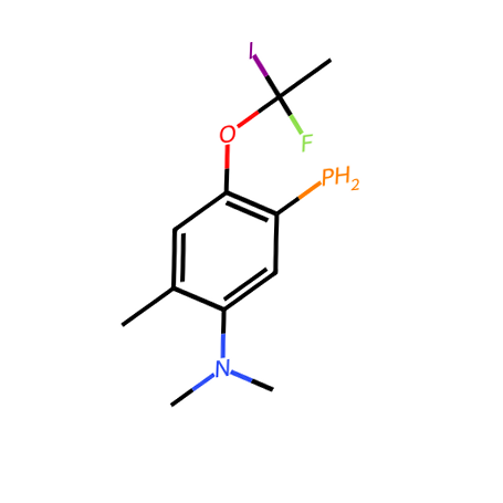 Cc1cc(OC(C)(F)I)c(P)cc1N(C)C